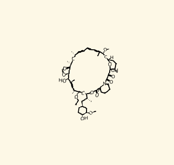 CCO[C@@H]1C[C@@H]([C@H](C)C[C@@H]2CC[C@@H](O)[C@H](OC)C2)OC(=O)[C@@H]2CCCCN2C(=O)C(=O)[C@]2(O)O[C@@H](CC[C@H]2C)C[C@H](OC)/C(C)=C/C=C/C=C/[C@@H](C)C[C@@H](C)C(=O)[C@H](OC)[C@H](O)/C(C)=C/[C@H]1C